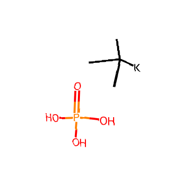 C[C](C)(C)[K].O=P(O)(O)O